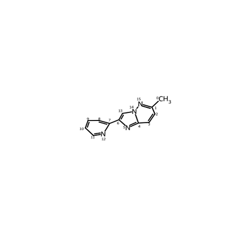 Cc1ccc2nc(-c3ccccn3)cn2n1